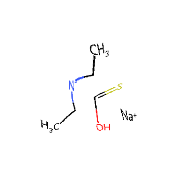 CC[N-]CC.OC=S.[Na+]